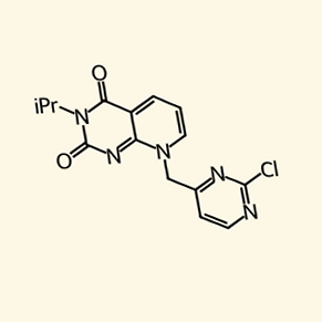 CC(C)n1c(=O)nc2n(Cc3ccnc(Cl)n3)cccc-2c1=O